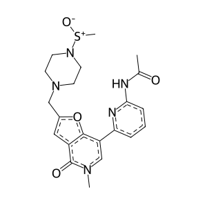 CC(=O)Nc1cccc(-c2cn(C)c(=O)c3cc(CN4CCN([S+](C)[O-])CC4)oc23)n1